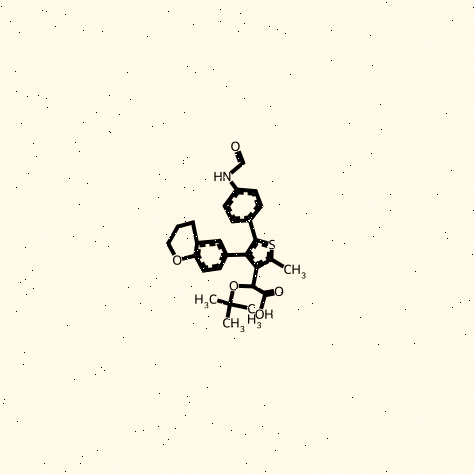 Cc1sc(-c2ccc(NC=O)cc2)c(-c2ccc3c(c2)CCCO3)c1C(OC(C)(C)C)C(=O)O